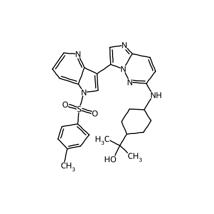 Cc1ccc(S(=O)(=O)n2cc(-c3cnc4ccc(NC5CCC(C(C)(C)O)CC5)nn34)c3ncccc32)cc1